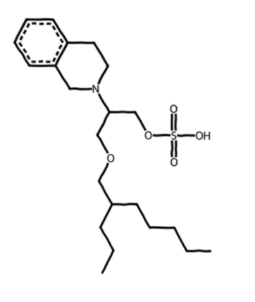 CCCCCC(CCC)COCC(COS(=O)(=O)O)N1CCc2ccccc2C1